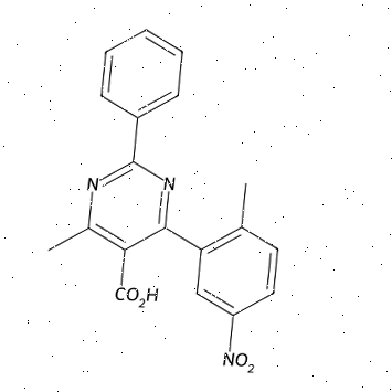 Cc1ccc([N+](=O)[O-])cc1-c1nc(-c2ccccc2)nc(C)c1C(=O)O